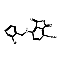 CNc1ccc(NCc2ccccc2O)c2c1C(=O)NC2=O